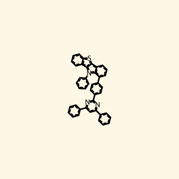 c1ccc(-c2cc(-c3ccccc3)nc(-c3ccc(-c4cccc5c6sc7ccccc7c6n(-c6ccccc6)c45)cc3)n2)cc1